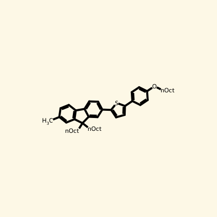 CCCCCCCCOc1ccc(-c2ccc(-c3ccc4c(c3)C(CCCCCCCC)(CCCCCCCC)c3cc(C)ccc3-4)s2)cc1